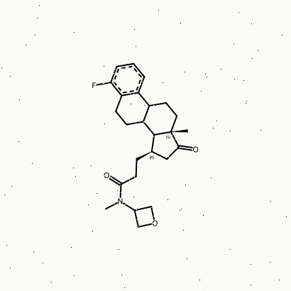 CN(C(=O)CC[C@@H]1CC(=O)[C@@]2(C)CCC3c4cccc(F)c4CCC3C12)C1COC1